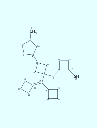 CC1CCC(C2CC(CC3CCC3S)(C(=C3CCC3)C3CCC3)C2)C1